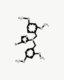 COc1ccc(CN(Cc2ccc(OC)cc2OC)c2nc(Br)cs2)c(OC)c1